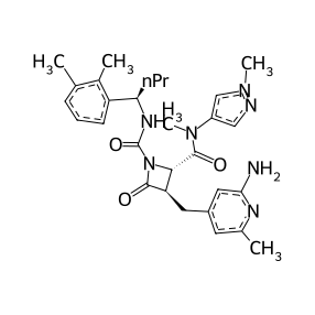 CCC[C@@H](NC(=O)N1C(=O)[C@H](Cc2cc(C)nc(N)c2)[C@H]1C(=O)N(C)c1cnn(C)c1)c1cccc(C)c1C